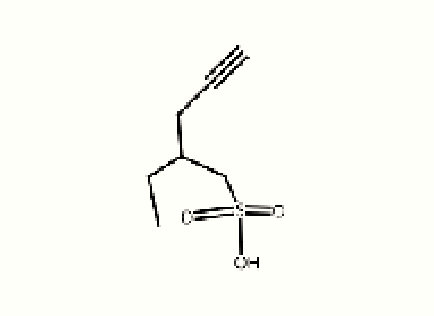 C#CCC(CC)CS(=O)(=O)O